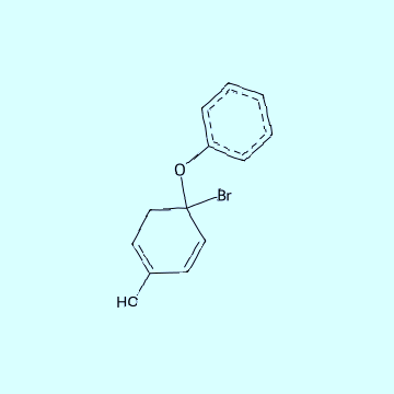 OC1=CCC(Br)(Oc2ccccc2)C=C1